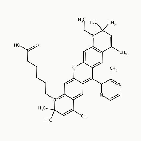 CCN1c2cc3c(cc2C(C)=CC1(C)C)C(c1nccnc1C)=c1cc2c(cc1O3)=[N+](CCCCCC(=O)O)C(C)(C)C=C2C